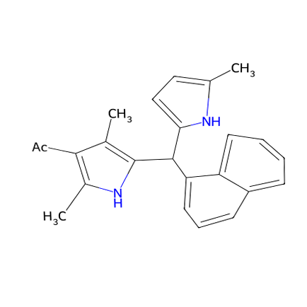 CC(=O)c1c(C)[nH]c(C(c2ccc(C)[nH]2)c2cccc3ccccc23)c1C